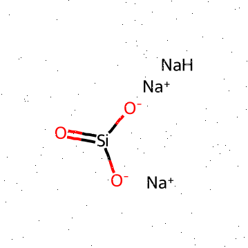 O=[Si]([O-])[O-].[Na+].[Na+].[NaH]